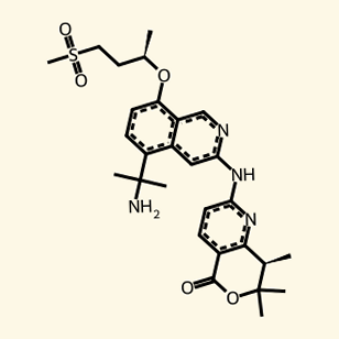 C[C@H](CCS(C)(=O)=O)Oc1ccc(C(C)(C)N)c2cc(Nc3ccc4c(n3)[C@@H](C)C(C)(C)OC4=O)ncc12